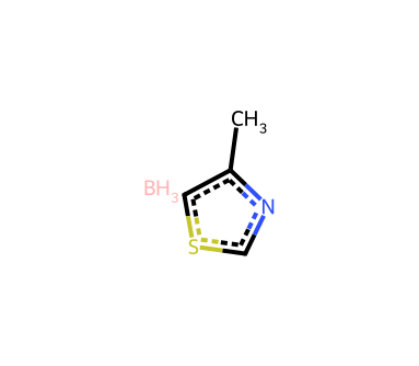 B.Cc1cscn1